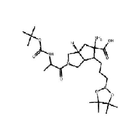 CC(NC(=O)OC(C)(C)C)C(=O)N1CC2C(CCCB3OC(C)(C)C(C)(C)O3)C(N)(C(=O)O)C[C@H]2C1